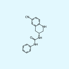 [C-]#[N+]c1ccc2c(c1)C[C@H](NC(=O)Nc1ccccc1)CN2